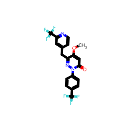 COc1cc(=O)n(-c2ccc(C(F)(F)F)cc2)nc1Cc1ccnc(C(F)(F)F)c1